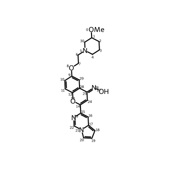 COC1CCCN(CCOc2ccc3oc(-c4cc5cccn5cn4)cc(=NO)c3c2)C1